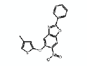 Cc1csc(Oc2cc3nc(-c4ccccc4)oc3cc2[N+](=O)[O-])c1